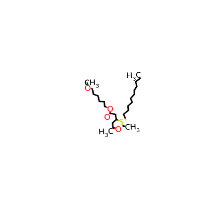 CCCCCCCCCCCC[S+](CC)C(CC(C)=O)CC(=O)OCCCCCCOC